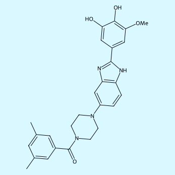 COc1cc(-c2nc3cc(N4CCN(C(=O)c5cc(C)cc(C)c5)CC4)ccc3[nH]2)cc(O)c1O